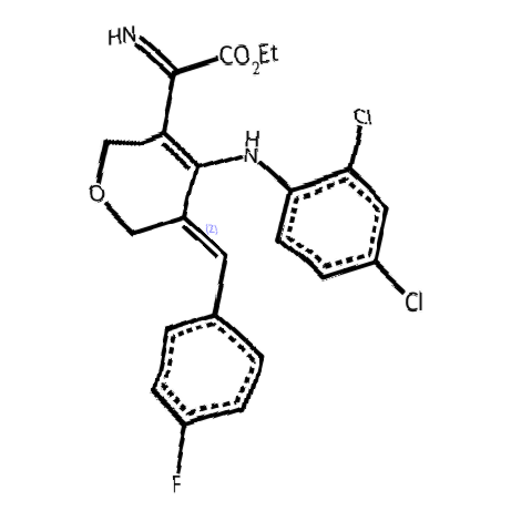 CCOC(=O)C(=N)C1=C(Nc2ccc(Cl)cc2Cl)/C(=C/c2ccc(F)cc2)COC1